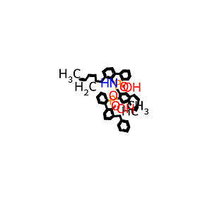 C#C/C=C\c1c(C)c(O)c(P2(=O)Oc3c(Cc4ccccc4)cccc3-c3ccccc32)c(CP2(=O)Nc3c(CC(=C)/C=C\C=C/C)cccc3-c3ccccc32)c1O